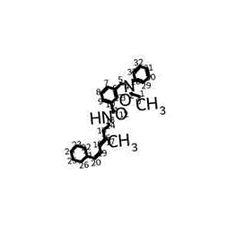 CCC(=O)N(Cc1cccc(C(=O)NCC/C(C)=C/C=C\C2CCCCC2)c1)c1ccccc1